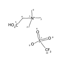 C[N+](C)(C)CC(=O)O.O=S(=O)([O-])C(F)(F)F